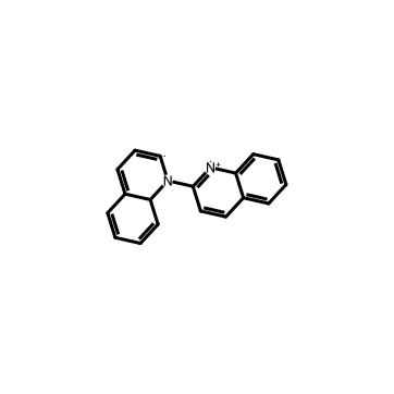 [C]1=CC=C2C=CC=CC2N1C1=[N+]c2ccccc2C=C1